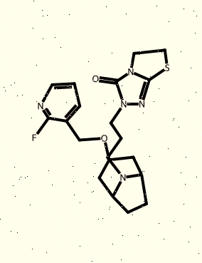 O=c1n(CCCN2C3CCC2CC(OCc2cccnc2F)C3)nc2n1CCS2